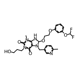 Cc1ccc(CN2c3c(n(C)c(=O)n(CCCO)c3=O)NC2OCCOc2cccc(OC(F)F)c2)cn1